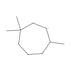 CC1[CH]CC(C)(C)CCC1